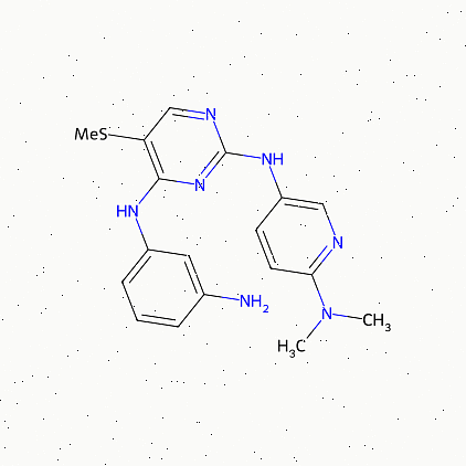 CSc1cnc(Nc2ccc(N(C)C)nc2)nc1Nc1cccc(N)c1